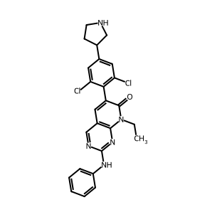 CCn1c(=O)c(-c2c(Cl)cc(C3CCNC3)cc2Cl)cc2cnc(Nc3ccccc3)nc21